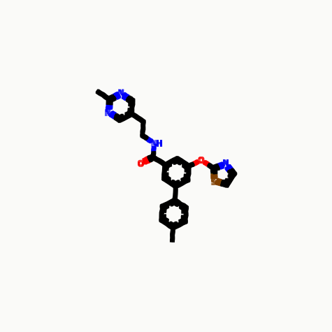 Cc1ccc(-c2cc(Oc3nccs3)cc(C(=O)NCCc3cnc(C)nc3)c2)cc1